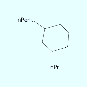 CCC[CH]CC1CCCC(CCC)C1